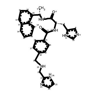 C[C@H](NC(=O)[C@H](Cc1cnc[nH]1)NC(=O)c1ccc(CNCc2ncc[nH]2)cc1)c1cccc2ccccc12